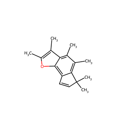 Cc1oc2c3c(c(C)c(C)c2c1C)C(C)(C)C=C3